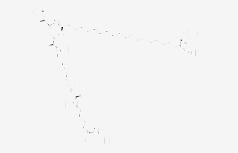 CC(C)(C)OC(=O)[C@H](CCC(=O)NCCOCCOCC(=O)NCCCC[C@H](N)C(=O)O)NC(=O)CCCCCCCCCCCCCCCCCCP(=O)(OC(C)(C)C)OC(C)(C)C